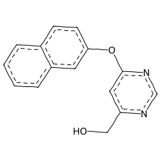 OCc1cc(Oc2ccc3ccccc3c2)ncn1